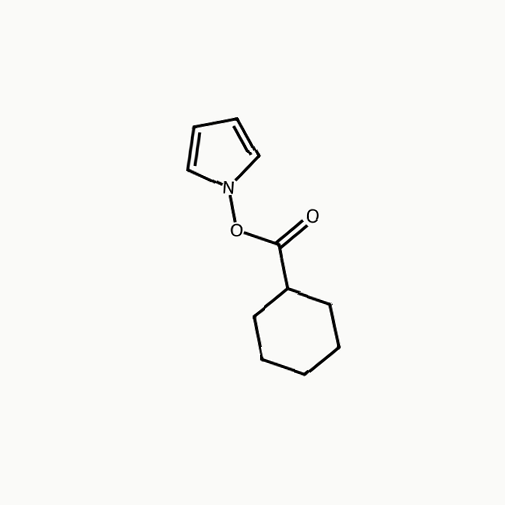 O=C(On1cccc1)C1CCCCC1